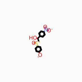 COc1ccc([S+]([O-])CC(O)c2ccc([N+](=O)[O-])cc2)cc1